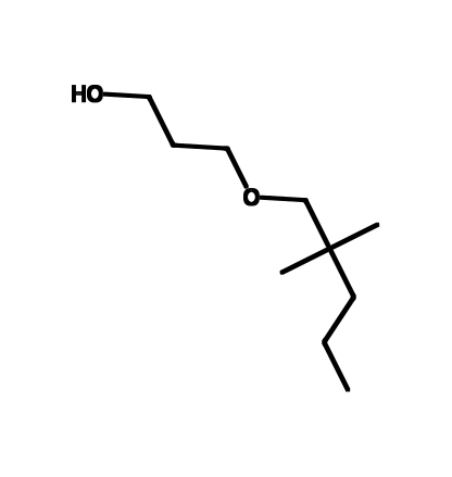 CCCC(C)(C)COCCCO